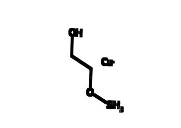 OCCO[SiH3].[Cu]